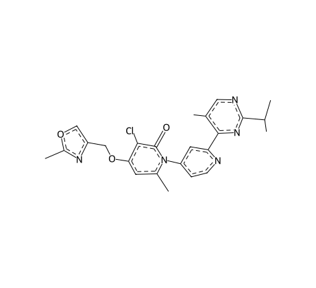 Cc1nc(COc2cc(C)n(-c3ccnc(-c4nc(C(C)C)ncc4C)c3)c(=O)c2Cl)co1